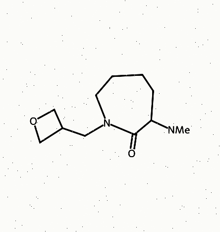 CNC1CCCCN(CC2COC2)C1=O